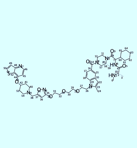 CN[C@@H](C)C(=O)NC(C(=O)N1CCN(C(=O)c2ccc3c(c2)cc(C)n3CCOCCOCCOc2cc(CN3CCC(Oc4ccnc5ccsc45)CC3)on2)C[C@H]1C)C1CCCCC1